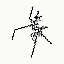 C=CCOC(=O)O[C@H]1[C@H](OCCCCCCCCCC)[C@@H](NC(=O)CC(=O)CCCCCCCCCCC)C(O/C=C\C)O[C@@H]1CO[C@@H]1O[C@H](CC)[C@@H](OP(=O)(OCC=C)OCC=C)[C@H](OCC[C@H](C)CCCCCCC)[C@H]1NC(=O)CCCCCCCCC/C=C\CCCCCC